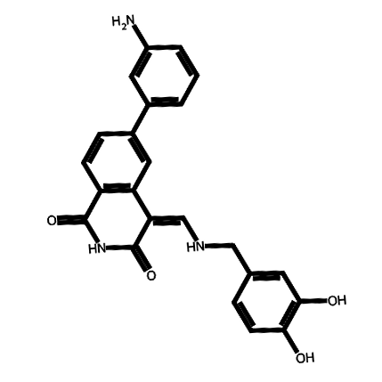 Nc1cccc(-c2ccc3c(c2)C(=CNCc2ccc(O)c(O)c2)C(=O)NC3=O)c1